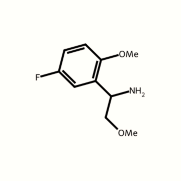 COCC(N)c1cc(F)ccc1OC